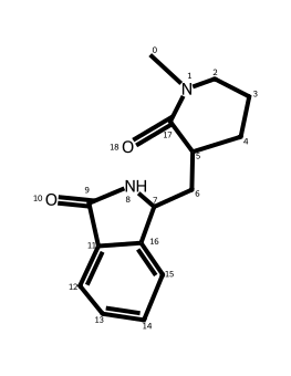 CN1CCCC(CC2NC(=O)c3ccccc32)C1=O